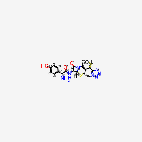 Cn1nnnc1C(=S)C1=C(C(=O)O)N2C(=O)C(NC(=O)C(N)c3ccc(O)cc3)[C@@H]2SC1